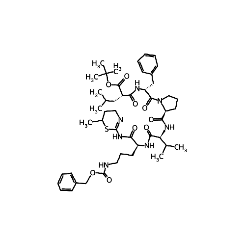 CC(C)C[C@@H](C(=O)N[C@H](Cc1ccccc1)C(=O)N1CCC[C@H]1C(=O)N[C@H](C(=O)N[C@@H](CCCNC(=O)OCc1ccccc1)C(=O)NC1=NCCC(C)S1)C(C)C)C(=O)OC(C)(C)C